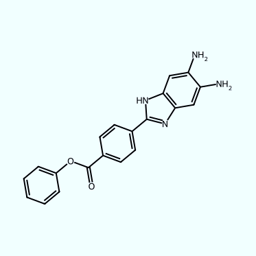 Nc1cc2nc(-c3ccc(C(=O)Oc4ccccc4)cc3)[nH]c2cc1N